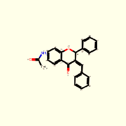 CC(N)=O.O=C1C(=Cc2ccccc2)C(c2ccccc2)Oc2ccccc21